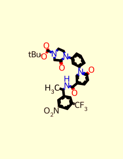 CC(NC(=O)c1ccc(=O)n(-c2cccc(N3CCN(C(=O)OC(C)(C)C)CC3=O)c2)c1)c1cc([N+](=O)[O-])cc(C(F)(F)F)c1